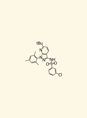 Cc1cc(C)c(-n2nc(NS(=O)(=O)c3cccc(Cl)c3)c3ccc(C(C)(C)C)nc32)c(C)c1